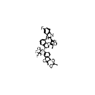 CC(=O)O[C@H]1c2ccc(N(C(=O)C(F)(F)F)[C@@H]3COc4c3cccc4-n3c(-c4cc(C)on4)nc4ccc(F)cc43)cc2OC1C